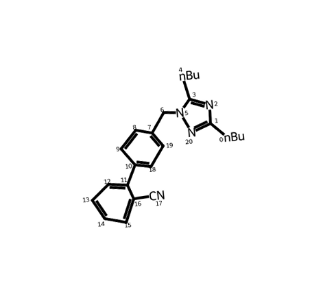 CCCCc1nc(CCCC)n(Cc2ccc(-c3ccccc3C#N)cc2)n1